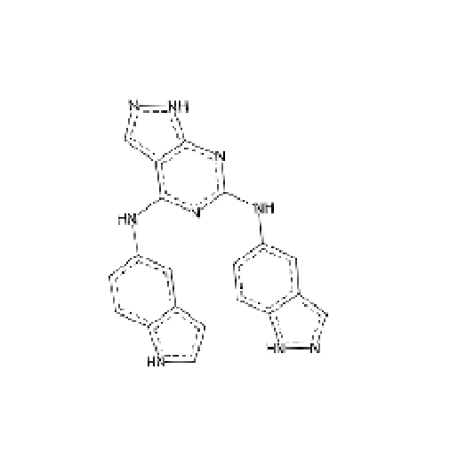 c1cc2cc(Nc3nc(Nc4ccc5[nH]ncc5c4)nc4[nH]ncc34)ccc2[nH]1